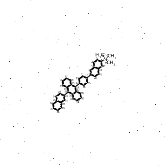 C[Si](C)(C)c1ccc2cc(-c3ccc(-c4c5ccccc5c(-c5ccc6ccccc6c5)c5ccccc45)cc3)ccc2c1